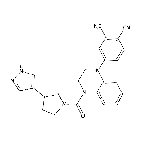 N#Cc1ccc(N2CCN(C(=O)N3CCC(c4cn[nH]c4)C3)c3ccccc32)cc1C(F)(F)F